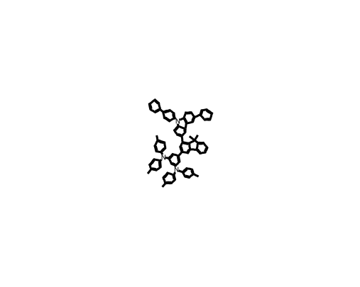 Cc1ccc(N(c2ccc(C)cc2)c2cc(-c3cc(-c4ccc5c(c4)c4cc(-c6ccccc6)ccc4n5-c4ccc(-c5ccccc5)cc4)c4c(c3)-c3ccccc3C4(C)C)cc(N(c3ccc(C)cc3)c3ccc(C)cc3)c2)cc1